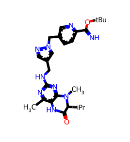 Cc1nc(NCc2cnn(Cc3ccc(C(=N)OC(C)(C)C)nc3)c2)nc2c1NC(=O)C(C(C)C)N2C